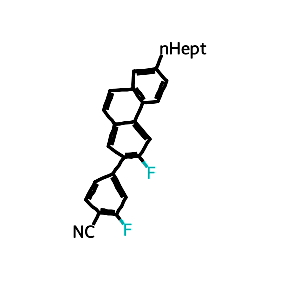 CCCCCCCc1ccc2c(ccc3cc(-c4ccc(C#N)c(F)c4)c(F)cc32)c1